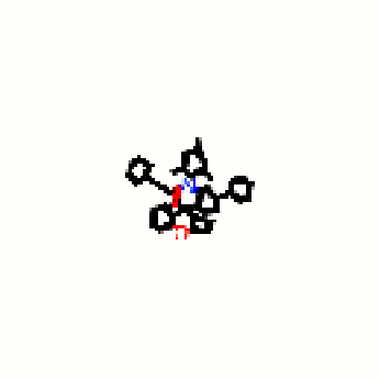 Cc1cc(C)c(N2c3cc(-c4ccccc4)ccc3C3(c4ccccc4Oc4ccccc43)c3ccc(-c4ccccc4)cc32)c(C)c1